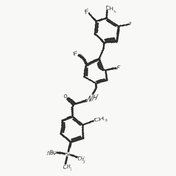 CCCC[Si](C)(C)c1ccc(C(=O)Nc2cc(F)c(-c3cc(F)c(C)c(F)c3)c(F)c2)c(C)c1